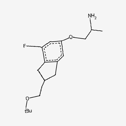 CC(N)COc1cc(F)c2c(c1)CC(COC(C)(C)C)C2